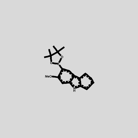 COc1cc2[nH]c3ccccc3c2cc1B1OC(C)(C)C(C)(C)O1